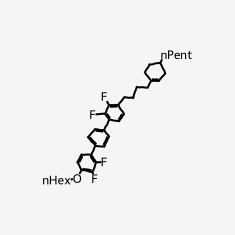 CCCCCCOc1ccc(-c2ccc(-c3ccc(CCCCC4=CCC(CCCCC)CC4)c(F)c3F)cc2)c(F)c1F